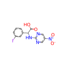 O=C(O)C(Nc1ncc([N+](=O)[O-])cn1)c1cccc(I)c1